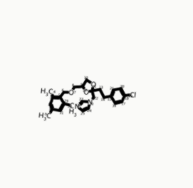 Cc1cc(C)c(COCC2COC(CCc3ccc(Cl)cc3)(Cn3ccnc3)O2)c(C)c1